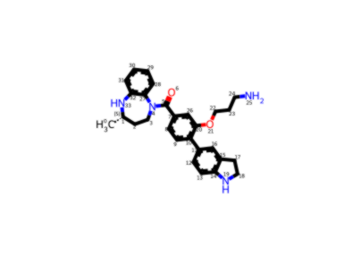 C[C@H]1CCN(C(=O)c2ccc(-c3ccc4c(c3)CCN4)c(OCCCN)c2)c2ccccc2N1